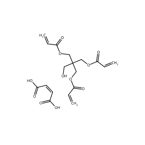 C=CC(=O)OCC(CO)(COC(=O)C=C)COC(=O)C=C.O=C(O)/C=C\C(=O)O